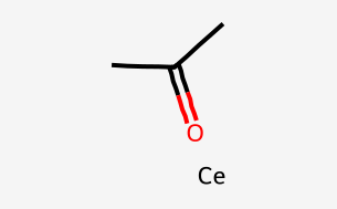 CC(C)=O.[Ce]